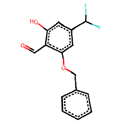 O=Cc1c(O)cc(C(F)F)cc1OCc1ccccc1